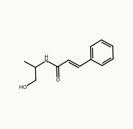 CC(CO)NC(=O)/C=C/c1ccccc1